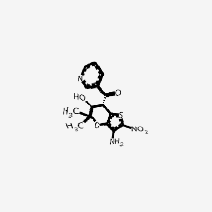 CC1(C)Oc2c(sc([N+](=O)[O-])c2N)[C@@H](C(=O)c2cccnc2)[C@@H]1O